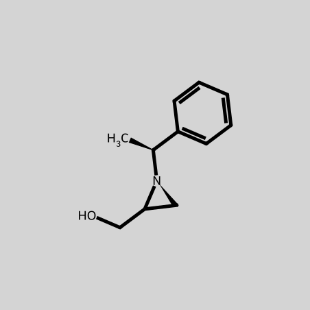 C[C@@H](c1ccccc1)[N@@]1CC1CO